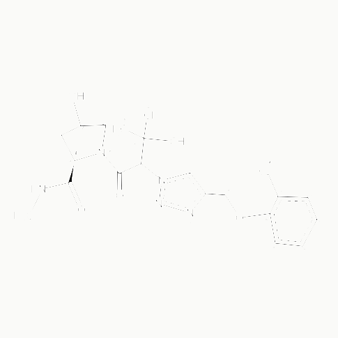 CNC(=O)[C@H]1CC(O)CN1C(=O)C(n1cc(COc2ccccc2Cl)nn1)C(C)(C)C